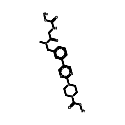 CC(C)OC(=O)N1CCN(c2ncc(-c3cccc(CN(C)C(=O)CNC(=O)OC(C)(C)C)c3)cn2)CC1